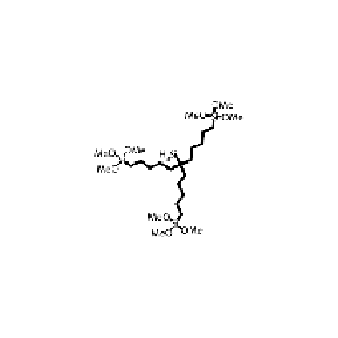 CO[Si](CCCCCC([SiH3])(CCCCC[Si](OC)(OC)OC)CCCCC[Si](OC)(OC)OC)(OC)OC